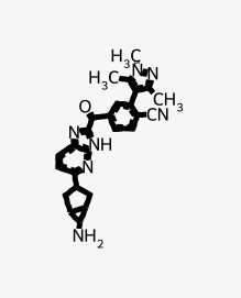 Cc1nn(C)c(C)c1-c1cc(C(=O)c2nc3ccc(C4CC5C(N)C5C4)nc3[nH]2)ccc1C#N